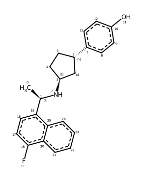 C[C@@H](N[C@H]1CC[C@H](c2ccc(O)cc2)C1)c1ccc(F)c2ccccc12